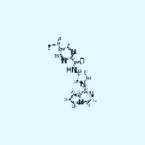 C=C(C)c1cnc(C(=O)NC2CCN(c3nccn4cccc34)C2)nc1